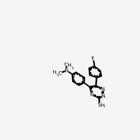 CN(C)c1ccc(-c2nc(S)nnc2-c2ccc(F)cc2)cc1